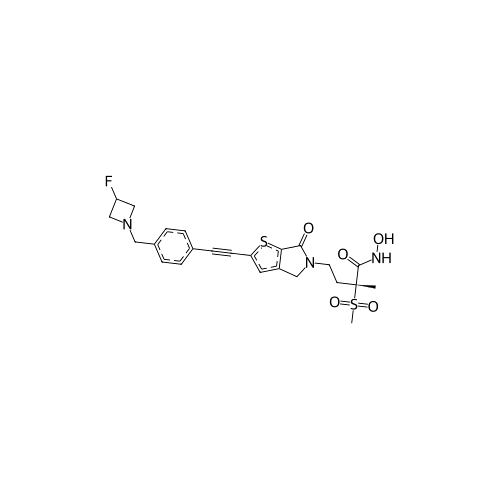 C[C@@](CCN1Cc2cc(C#Cc3ccc(CN4CC(F)C4)cc3)sc2C1=O)(C(=O)NO)S(C)(=O)=O